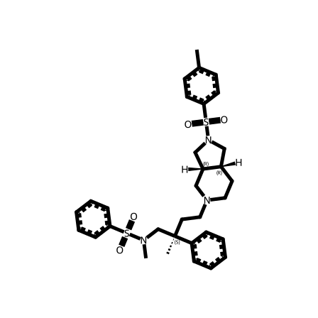 Cc1ccc(S(=O)(=O)N2C[C@H]3CN(CC[C@](C)(CN(C)S(=O)(=O)c4ccccc4)c4ccccc4)CC[C@H]3C2)cc1